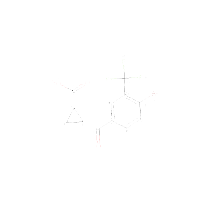 O=C(O)[C@H]1C[C@H]1C(=O)c1ccc(Br)c(C(F)(F)F)c1